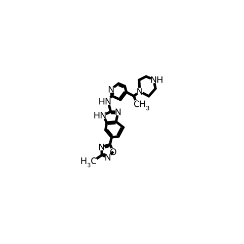 Cc1noc(-c2ccc3nc(Nc4cc(C(C)N5CCNCC5)ccn4)[nH]c3c2)n1